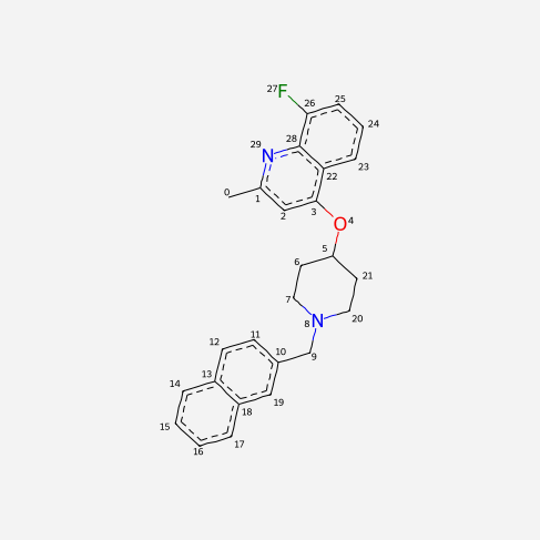 Cc1cc(OC2CCN(Cc3ccc4ccccc4c3)CC2)c2cccc(F)c2n1